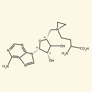 Nc1ncnc2c1ncn2[C@@H]1O[C@H](C[N+]2(CCC(N)C(=O)O)CC2)C(O)[C@@H]1O